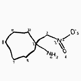 NC1(C[N+](=O)[O-])CCCCC1